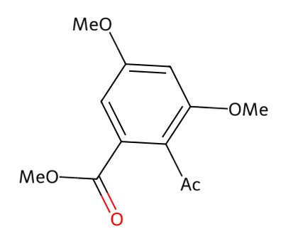 COC(=O)c1cc(OC)cc(OC)c1C(C)=O